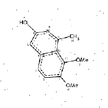 COc1ccc2cc(O)nc(C)c2c1OC